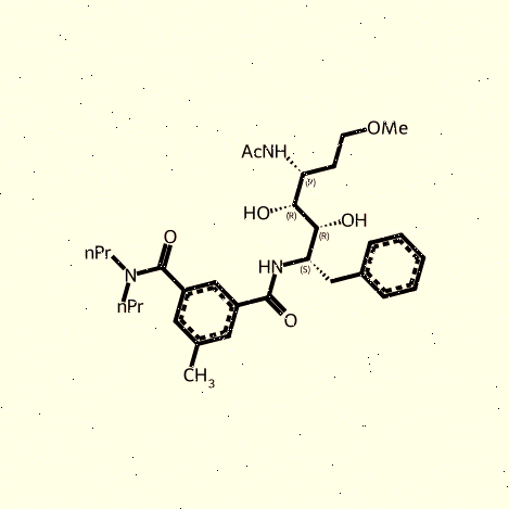 CCCN(CCC)C(=O)c1cc(C)cc(C(=O)N[C@@H](Cc2ccccc2)[C@@H](O)[C@H](O)[C@@H](CCOC)NC(C)=O)c1